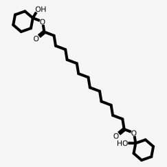 O=C(CCCCCCCCCCCCCC(=O)OC1(O)CCCCC1)OC1(O)CCCCC1